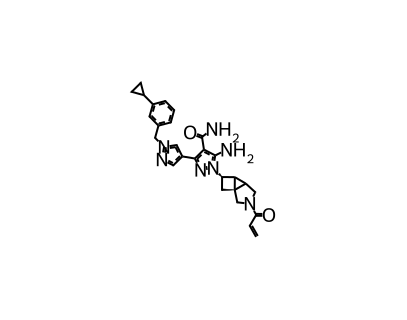 C=CC(=O)N1CC2C3[C@H](n4nc(-c5cnn(Cc6cccc(C7CC7)c6)c5)c(C(N)=O)c4N)C[C@]23C1